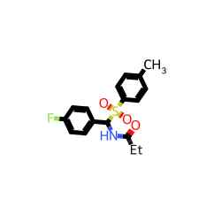 CCC(=O)NC(c1ccc(F)cc1)S(=O)(=O)c1ccc(C)cc1